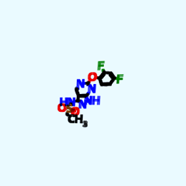 CCS(=O)(=O)Nc1n[nH]c2nc(Oc3ccc(F)cc3F)ncc12